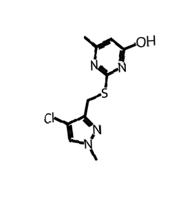 Cc1cc(O)nc(SCc2nn(C)cc2Cl)n1